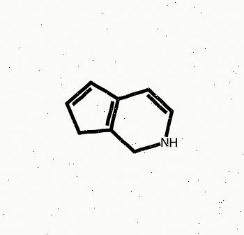 C1=CC2=C(C1)CNC=C2